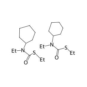 CCSC(=O)N(CC)C1CCCCC1.CCSC(=O)N(CC)C1CCCCC1